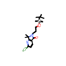 CC1(C)c2nc(Cl)ccc2C(=O)N1CCCO[Si](C)(C)C(C)(C)C